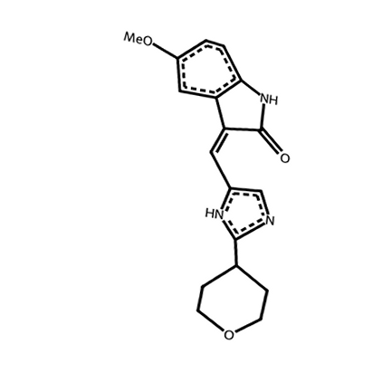 COc1ccc2c(c1)/C(=C/c1cnc(C3CCOCC3)[nH]1)C(=O)N2